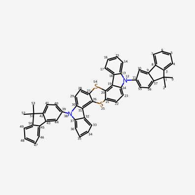 CC1(C)c2ccccc2-c2cc(-n3c4ccccc4c4c5c(ccc43)Sc3c(ccc4c3c3ccccc3n4-c3ccc4c(c3)-c3ccccc3C4(C)C)S5)ccc21